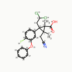 CC1(CC#N)C(C)(C(=O)O)C1(CC(Cl)Cl)c1ccc(F)c(Oc2ccccc2)c1